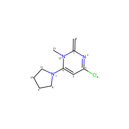 C=C1N=C(Cl)C=C(N2CCCC2)N1C